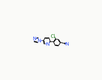 N#Cc1ccc(-c2ccc(-n3ccnc3)cn2)c(Cl)c1